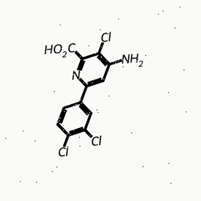 Nc1cc(-c2ccc(Cl)c(Cl)c2)nc(C(=O)O)c1Cl